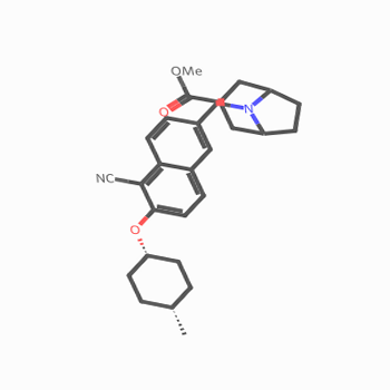 COC(=O)C1CC2CCC(C1)N2Cc1ccc2c(C#N)c(O[C@H]3CC[C@@H](C)CC3)ccc2c1